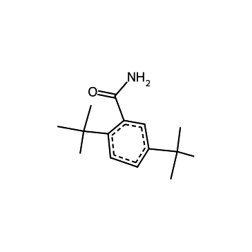 CC(C)(C)c1ccc(C(C)(C)C)c(C(N)=O)c1